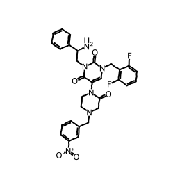 N[C@@H](Cn1c(=O)c(N2CCN(Cc3cccc([N+](=O)[O-])c3)CC2=O)cn(Cc2c(F)cccc2F)c1=O)c1ccccc1